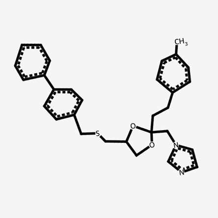 Cc1ccc(CCC2(Cn3ccnc3)OCC(CSCc3ccc(-c4ccccc4)cc3)O2)cc1